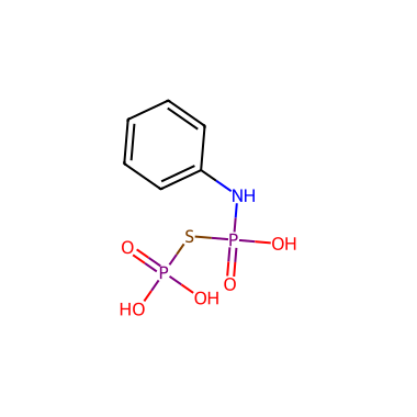 O=P(O)(O)SP(=O)(O)Nc1ccccc1